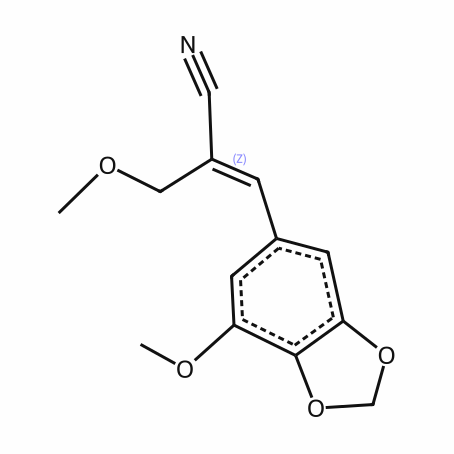 COC/C(C#N)=C\c1cc(OC)c2c(c1)OCO2